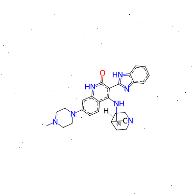 CN1CCN(c2ccc3c(N[C@H]4CN5CCC4CC5)c(-c4nc5ccccc5[nH]4)c(=O)[nH]c3c2)CC1